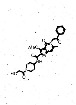 COc1c(C(=O)NC2CCN(C(=O)CO)CC2)sc2cc(C)n(CC(=O)c3ccccc3)c(=O)c12